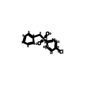 O=S(=O)(Cc1ccccc1)c1ncc(Cl)cn1